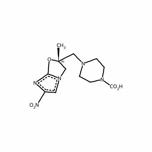 C[C@@]1(CN2CCN(C(=O)O)CC2)Cn2cc([N+](=O)[O-])nc2O1